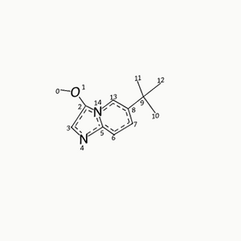 COc1cnc2ccc(C(C)(C)C)cn12